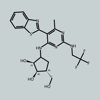 Cc1nc(NCC(F)(F)F)nc(NC2C[C@H](CO)[C@@H](O)[C@H]2O)c1-c1nc2ccccc2s1